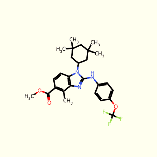 COC(=O)c1ccc2c(nc(Nc3ccc(OC(F)(F)F)cc3)n2C2CC(C)(C)CC(C)(C)C2)c1C